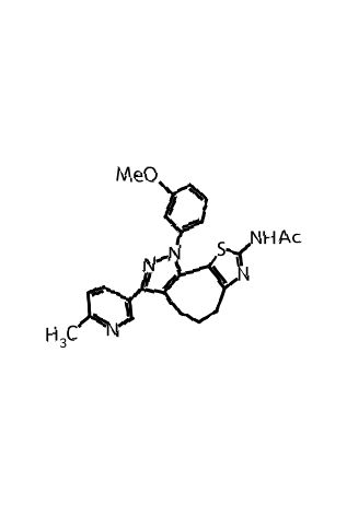 COc1cccc(-n2nc(-c3ccc(C)nc3)c3c2-c2sc(NC(C)=O)nc2CCC3)c1